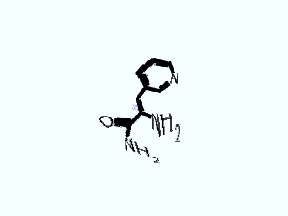 NC(=O)/C(N)=C/c1cccnc1